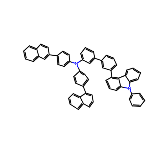 c1ccc(-n2c3ccccc3c3c(-c4cccc(-c5cccc(N(c6ccc(-c7ccc8ccccc8c7)cc6)c6ccc(-c7cccc8ccccc78)cc6)c5)c4)cccc32)cc1